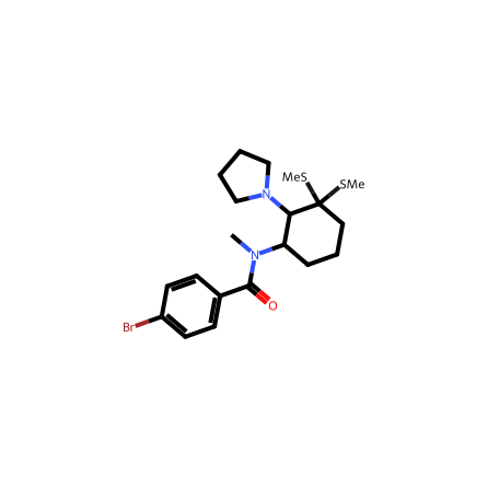 CSC1(SC)CCCC(N(C)C(=O)c2ccc(Br)cc2)C1N1CCCC1